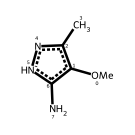 COc1c(C)n[nH]c1N